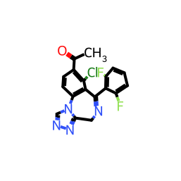 CC(=O)c1ccc2c(c1Cl)C(c1c(F)cccc1F)=NCc1nncn1-2